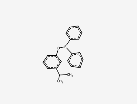 CC(C)c1cccc(OP(c2ccccc2)c2ccccc2)c1